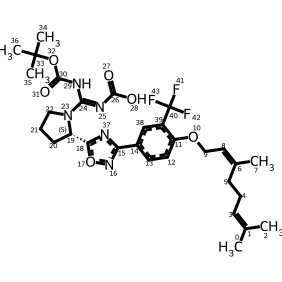 CC(C)=CCCC(C)=CCOc1ccc(-c2noc([C@@H]3CCCN3C(=NC(=O)O)NC(=O)OC(C)(C)C)n2)cc1C(F)(F)F